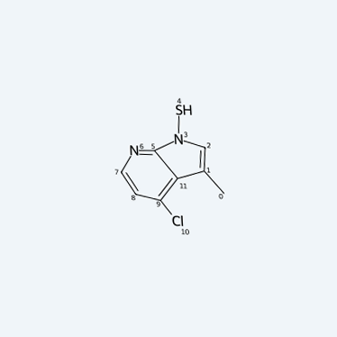 Cc1cn(S)c2nccc(Cl)c12